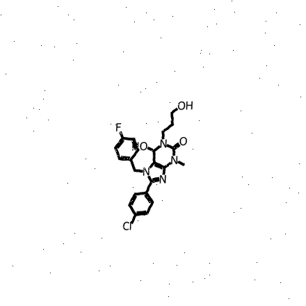 CN1C(=O)N(CCCO)C(O)c2c1nc(-c1ccc(Cl)cc1)n2Cc1ccc(F)cc1